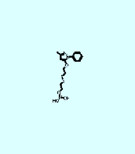 Cc1cc(OCCSSCCON(O)O)n(-c2ccccc2)n1